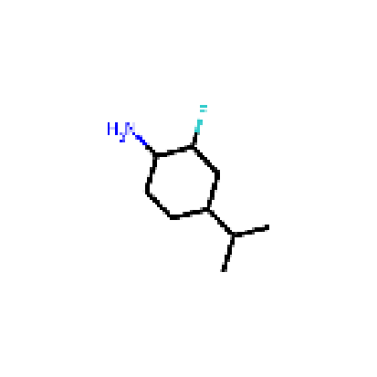 CC(C)C1CCC(N)C(F)C1